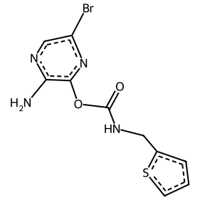 Nc1ncc(Br)nc1OC(=O)NCc1cccs1